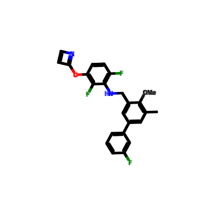 COc1c(C)cc(-c2cccc(F)c2)cc1CNc1c(F)ccc(OC2=NC=C2)c1F